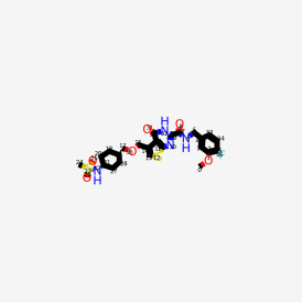 COc1cc(CNC(=O)c2nc3scc(COC[C@H]4CC[C@H](NS(C)(=O)=O)CC4)c3c(=O)[nH]2)ccc1F